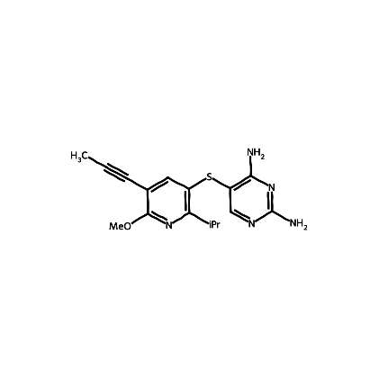 CC#Cc1cc(Sc2cnc(N)nc2N)c(C(C)C)nc1OC